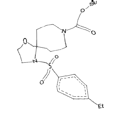 CCc1ccc(S(=O)(=O)N2CCOC23CCN(C(=O)OC(C)(C)C)CC3)cc1